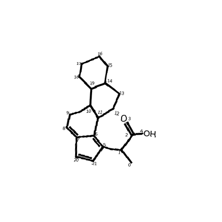 CC(C(=O)O)C1=C2C(=CCC3C2CCC2CCCCC23)C=C1